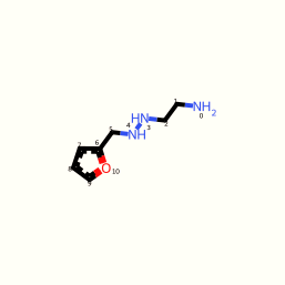 NCCNNCc1ccco1